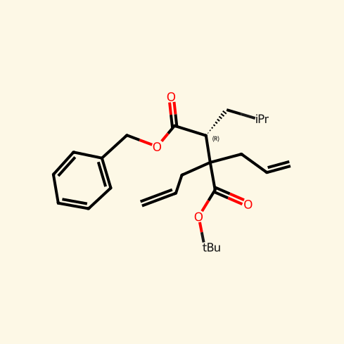 C=CCC(CC=C)(C(=O)OC(C)(C)C)[C@@H](CC(C)C)C(=O)OCc1ccccc1